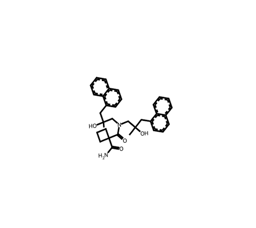 CC(O)(Cc1cccc2ccccc12)CN(CC(C)(O)Cc1cccc2ccccc12)C(=O)C1(C(N)=O)CCC1